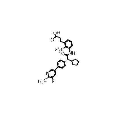 Cc1ncc(-c2ccc([C@H](C(=O)Nc3cccc(CCC(=O)O)c3C)C3CCCC3)cc2)cc1F